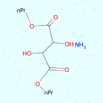 CCCOC(=O)C(O)C(O)C(=O)OCCC.N